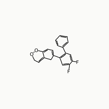 Fc1cc(C2=CC=C3OOCC=C3C2)c(-c2ccccc2)cc1F